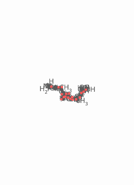 CN(COc1ccc(P(=NCOc2ccc(C=NN(C)[PH](=S)Oc3ccc(CCN(CP(=O)(O)O)CP(=O)(O)O)cc3)cc2)(c2ccccc2)c2ccccc2)cc1)N=Cc1ccc(OPP(P)N=[N+]=[N-])cc1